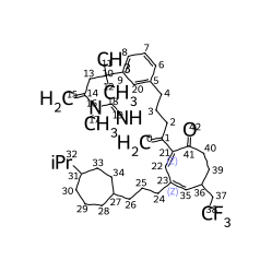 C=C(CCCc1cccc(C(C)(C)CC(=C)N(C)C=N)c1)/C1=C/C(CCCC2CCCC(C(C)C)CC2)=C\C(CC(F)(F)F)CCC1=O